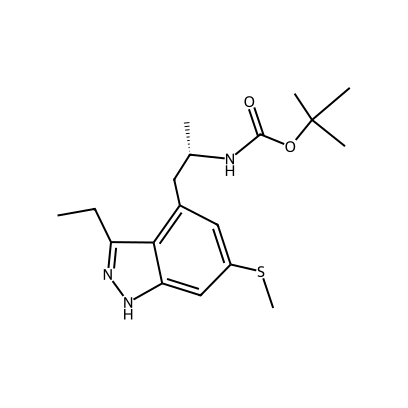 CCc1n[nH]c2cc(SC)cc(C[C@H](C)NC(=O)OC(C)(C)C)c12